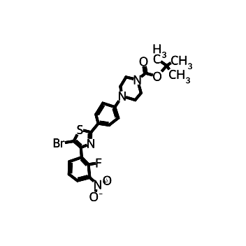 CC(C)(C)OC(=O)N1CCN(c2ccc(-c3nc(-c4cccc([N+](=O)[O-])c4F)c(Br)s3)cc2)CC1